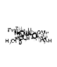 C=CCn1c(=O)c2cnc(Nc3ccc(N4CC5(CNC5)C4)c(OC)c3)nc2n1C(/C=C\C=O)=N/N(C)C(C)C